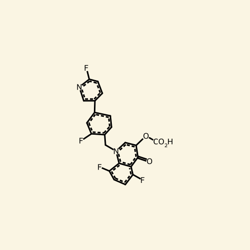 O=C(O)Oc1cn(Cc2ccc(-c3ccc(F)nc3)cc2F)c2c(F)ccc(F)c2c1=O